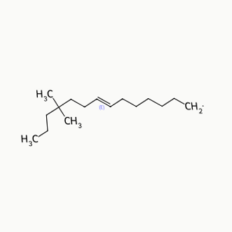 [CH2]CCCCC/C=C/CCC(C)(C)CCC